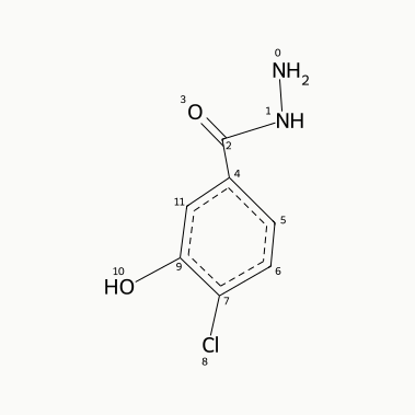 NNC(=O)c1ccc(Cl)c(O)c1